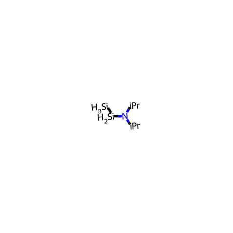 CC(C)N([SiH2][SiH3])C(C)C